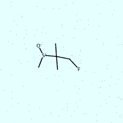 C[S+]([O-])C(C)(C)CF